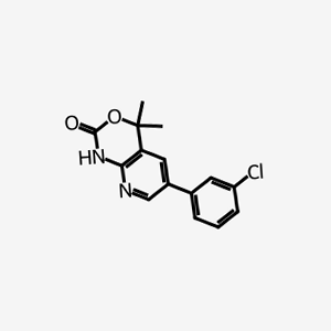 CC1(C)OC(=O)Nc2ncc(-c3cccc(Cl)c3)cc21